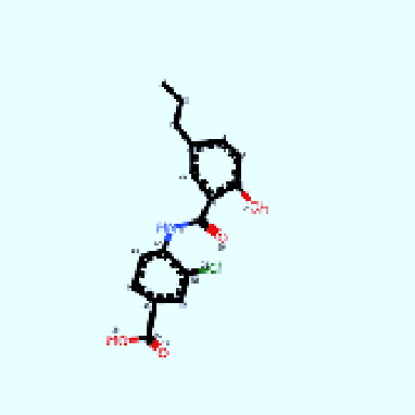 CCCc1ccc(O)c(C(=O)Nc2ccc(C(=O)O)cc2Cl)c1